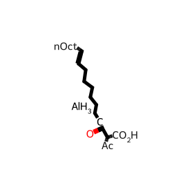 CCCCCCCCC=CCCCCCCCC(=O)C(C(C)=O)C(=O)O.[AlH3]